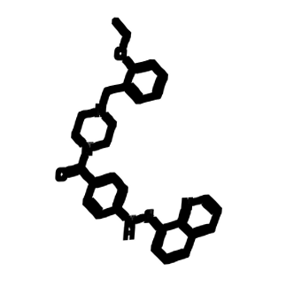 CCOc1ccccc1CN1CCN(C(=O)c2ccc(NSc3cccc4cccnc34)cc2)CC1